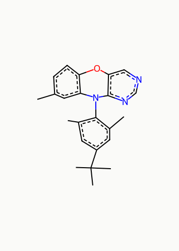 Cc1ccc2c(c1)N(c1c(C)cc(C(C)(C)C)cc1C)c1ncncc1O2